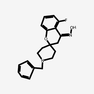 O/N=C1/CC2(CCN(Cc3ccccc3)CC2)Oc2cccc(F)c21